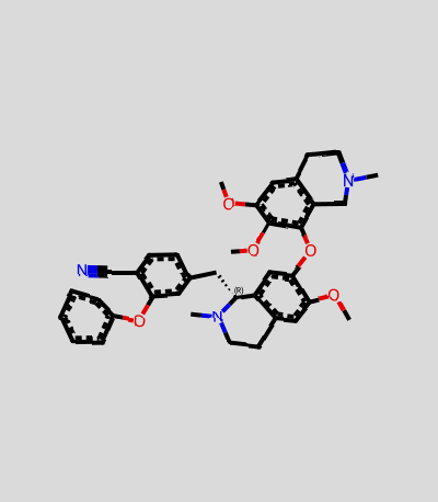 COc1cc2c(cc1Oc1c3c(cc(OC)c1OC)CCN(C)C3)[C@@H](Cc1ccc(C#N)c(Oc3ccccc3)c1)N(C)CC2